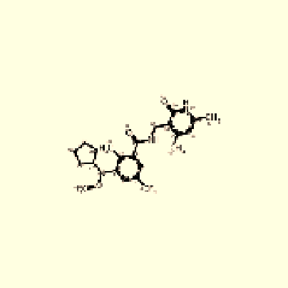 C=NN(c1cc(C(F)(F)F)cc(C(=O)NCc2c(C)cc(C)[nH]c2=O)c1C)C1CCCC1